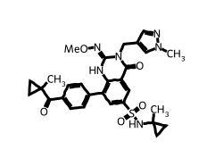 CO/N=c1\[nH]c2c(-c3ccc(C(=O)C4(C)CC4)cc3)cc(S(=O)(=O)NC3(C)CC3)cc2c(=O)n1Cc1cnn(C)c1